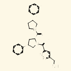 NCc1cc(C(=O)N2C[C@@H](c3ccccc3)C[C@H]2C(=O)N2CC[C@H](c3ccccc3)C2)no1